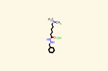 CN(C)CCCCCC(=O)NNCc1ccccc1.Cl